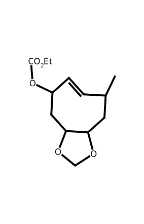 CCOC(=O)OC1/C=C/C(C)CC2OCOC2C1